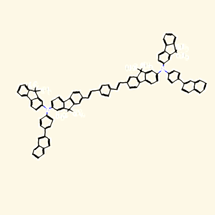 CC1(C)c2ccccc2-c2ccc(N(c3ccc(-c4ccc5ccccc5c4)cc3)c3ccc4c(c3)C(C)(C)c3cc(/C=C/c5ccc(/C=C/c6ccc7c(c6)C(C)(C)c6cc(N(c8ccc(-c9ccc%10ccccc%10c9)cc8)c8ccc9c(c8)C(C)(C)c8ccccc8-9)ccc6-7)cc5)ccc3-4)cc21